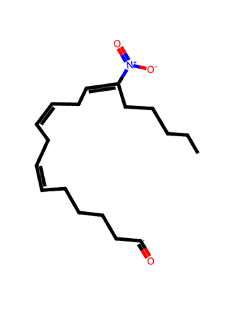 CCCCC/C(=C\C/C=C\C/C=C\CCCC[C]=O)[N+](=O)[O-]